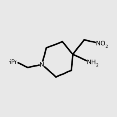 C[C](C)CN1CCC(N)(C[N+](=O)[O-])CC1